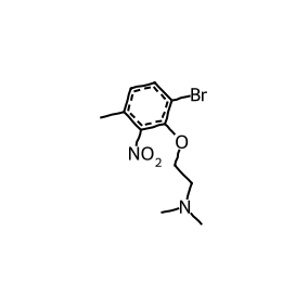 Cc1ccc(Br)c(OCCN(C)C)c1[N+](=O)[O-]